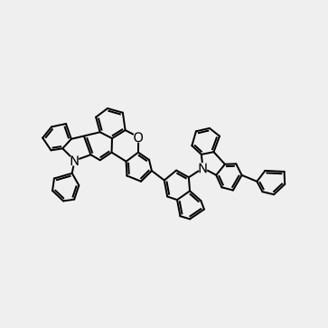 c1ccc(-c2ccc3c(c2)c2ccccc2n3-c2cc(-c3ccc4c(c3)Oc3cccc5c3c-4cc3c5c4ccccc4n3-c3ccccc3)cc3ccccc23)cc1